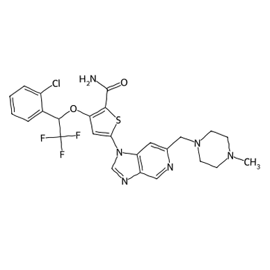 CN1CCN(Cc2cc3c(cn2)ncn3-c2cc(OC(c3ccccc3Cl)C(F)(F)F)c(C(N)=O)s2)CC1